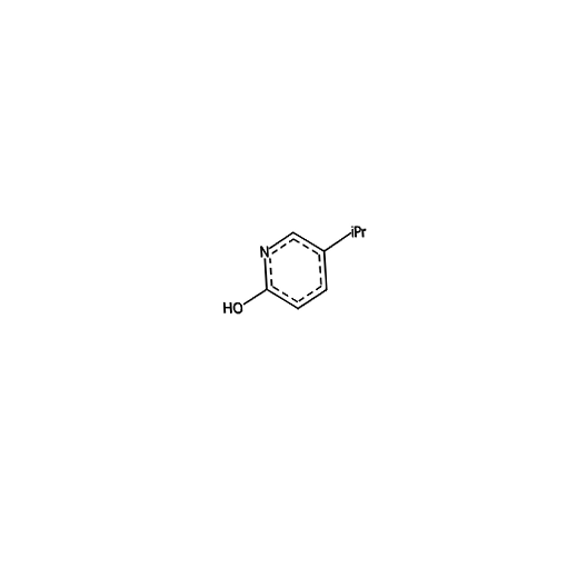 [CH2]C(C)c1ccc(O)nc1